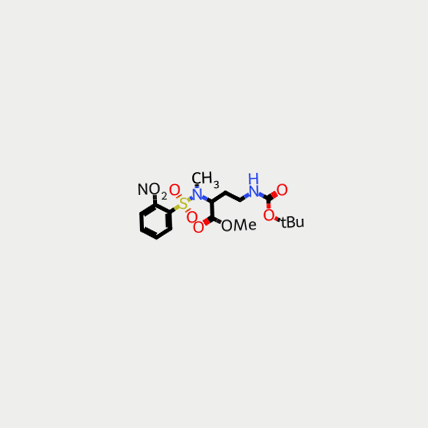 COC(=O)C(CCNC(=O)OC(C)(C)C)N(C)S(=O)(=O)c1ccccc1[N+](=O)[O-]